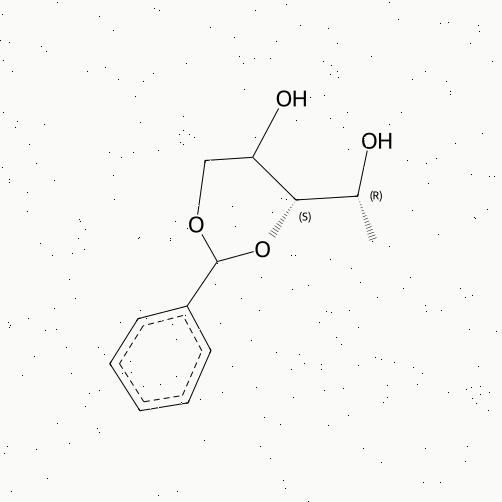 C[C@@H](O)[C@@H]1OC(c2ccccc2)OCC1O